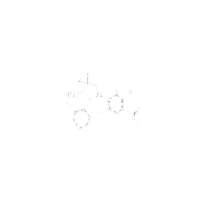 COc1c(F)c(C(=O)O)cc(F)c1N1CC(N[C@@H](C)c2ccccc2)C2(CC2)C1